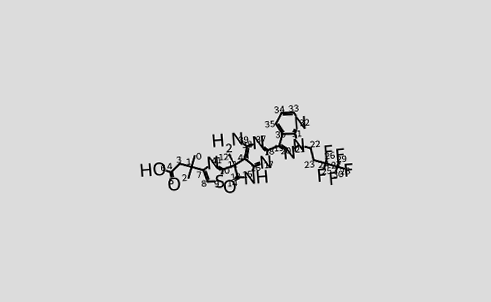 CC(C)(CC(=O)O)c1csc([C@@]2(C)C(=O)Nc3nc(-c4nn(CCC(F)(F)C(F)(F)F)c5ncccc45)nc(N)c32)n1